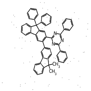 CC1(C)c2ccccc2-c2cc(-c3cc4c(cc3-c3nc(-c5ccccc5)nc(-c5ccccc5)n3)C(c3ccccc3)(c3ccccc3)c3ccccc3-4)ccc21